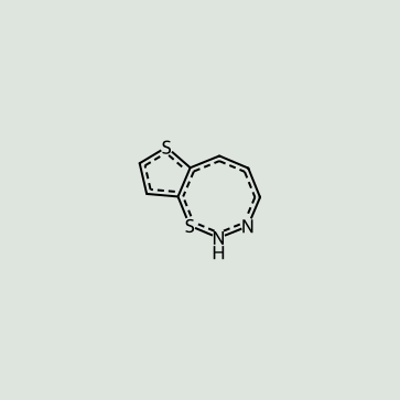 c1cn[nH]sc2ccsc2c1